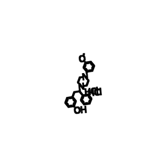 COc1cccc(N2CCN(C(Cc3cccc(O)c3)c3ccccc3)CC2)c1.Cl.Cl